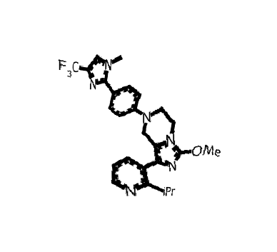 COc1nc(-c2cccnc2C(C)C)c2n1CCN(c1ccc(-c3nc(C(F)(F)F)cn3C)cc1)C2